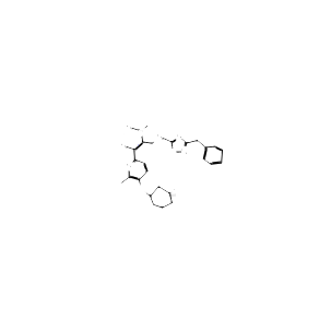 Cc1nc(/C(N)=C(\CNc2nc(Cc3ccccc3)no2)N(C)N)ccc1OC1CCC[C@H](C(=O)O)C1